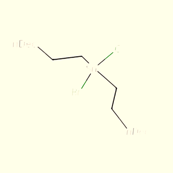 CCCCCCCCCCC[CH2][Sn]([Cl])([Br])[CH2]CCCCCCCCCCC